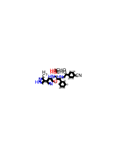 Cc1n[nH]cc1-c1cnc2c(c1)NC[C@@H]([C@H](NCCc1ccc(C#N)cc1)c1ccccc1)O2.O=CO.O=CO